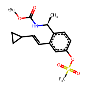 C[C@H](NC(=O)OC(C)(C)C)c1ccc(OS(=O)(=O)C(F)(F)F)cc1/C=C/C1CC1